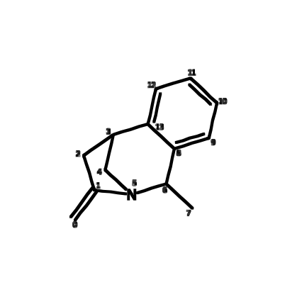 C=C1CC2CN1C(C)c1ccccc12